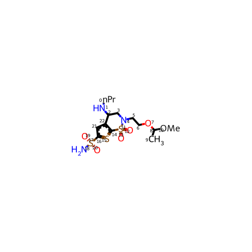 CCCNC1CN(CCOC(C)OC)S(=O)(=O)c2sc(S(N)(=O)=O)cc21